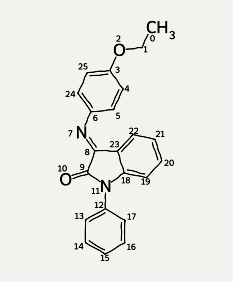 CCOc1ccc(/N=C2/C(=O)N(c3ccccc3)c3ccccc32)cc1